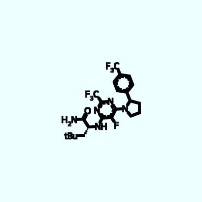 CC(C)(C)C[C@@H](Nc1nc(C(F)(F)F)nc(N2CCCC2c2ccc(C(F)(F)F)cc2)c1F)C(N)=O